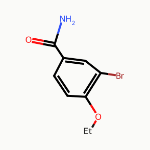 CCOc1ccc(C(N)=O)cc1Br